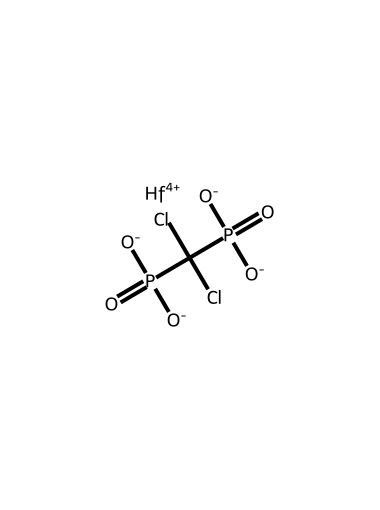 O=P([O-])([O-])C(Cl)(Cl)P(=O)([O-])[O-].[Hf+4]